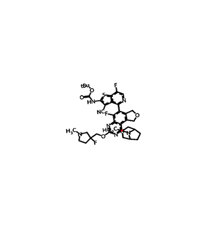 CN1CCC(F)(COc2nc(N3C4CCC3CN(C(=O)O)C4)c3c4c(c(-c5ncc(F)c6sc(NC(=O)OC(C)(C)C)c(C#N)c56)c(F)c3n2)COC4)C1